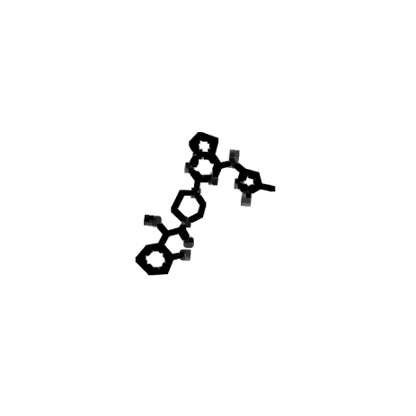 Cc1cc(Nc2nc(N3CCN(C(=O)C(O)c4ccccc4Cl)CC3)nn3cccc23)n[nH]1